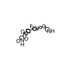 O=C1CCC(N2Cc3cc([C@H]4CCN([C@H]5C[C@H](OC6CCNCC6)C5)C[C@H]4F)ccc3C2=O)C(=O)N1